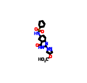 O=C(O)Oc1cnn(-c2nc3ccc(NS(=O)(=O)c4ccccc4)cc3c(=O)[nH]2)c1